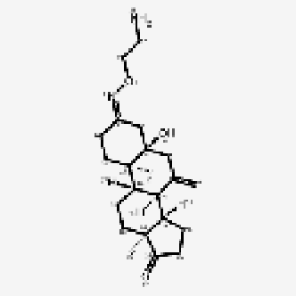 C=C1C[C@@]2(O)CC(=NOCCN)CC[C@]2(C)[C@H]2CC[C@]3(C)C(=O)CC[C@H]3[C@H]12